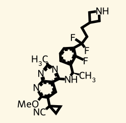 COc1nc2nc(C)nc(N[C@H](C)c3cccc(C(F)(F)CCC4CNC4)c3F)c2cc1C1(C#N)CC1